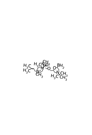 BC1CN(C(C)(C)C)CC(COCP(=O)(N(C)C)N2CC[N+](C)(CC=C(C)C)CC2)O1